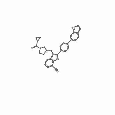 N#Cc1cccc2c1nc(-c1ccc(-c3ccc4cc[nH]c4c3)cc1)n2C[C@H]1CCN(C(=O)C2CC2)C1